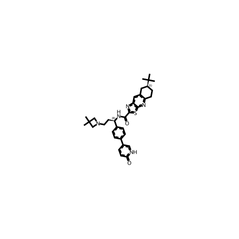 CC1(C)CN(CC[C@@H](NC(=O)c2nc3cc4c(nc3s2)CC[C@H](C(C)(C)C)C4)c2ccc(-c3ccc(=O)[nH]c3)cc2)C1